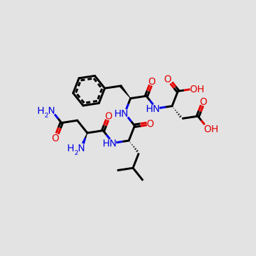 CC(C)C[C@H](NC(=O)[C@@H](N)CC(N)=O)C(=O)N[C@@H](Cc1ccccc1)C(=O)N[C@@H](CC(=O)O)C(=O)O